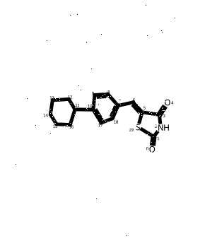 O=C1NC(=O)C(=Cc2ccc(C3CCCCC3)cc2)S1